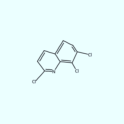 Clc1ccc2ccc(Cl)c(Cl)c2n1